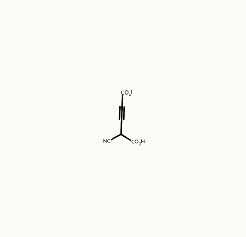 N#CC(C#CC(=O)O)C(=O)O